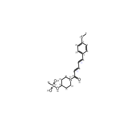 CSc1ccc(/C=C/C=C/C(=O)N2CCC(OS(C)(=O)=O)CC2)cc1